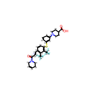 O=C(O)C1CCN(c2cccc(Sc3ccc(/C=C/C(=O)N4CC=CCC4)c(C(F)(F)F)c3C(F)(F)F)c2)CC1